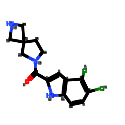 O=C(c1cc2c(Cl)c(Cl)ccc2[nH]1)N1CCC2(CNC2)C1